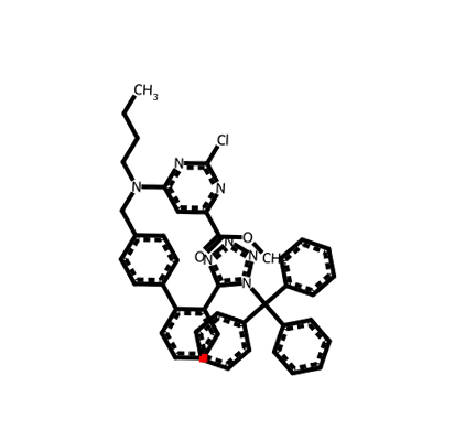 CCCCN(Cc1ccc(-c2ccccc2-c2nnnn2C(c2ccccc2)(c2ccccc2)c2ccccc2)cc1)c1cc(C(=O)OC)nc(Cl)n1